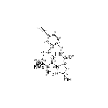 C#Cc1ccc(CNC(=O)[C@@H]2C[C@@H](O)CN2C(=O)[C@@H](N)C(C)(C)C)c(OCCCNC)c1